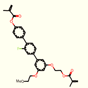 C=C(C)C(=O)OCCOc1cc(OCCOC)cc(-c2ccc(-c3ccc(OC(=O)C(=C)C)cc3)c(F)c2)c1